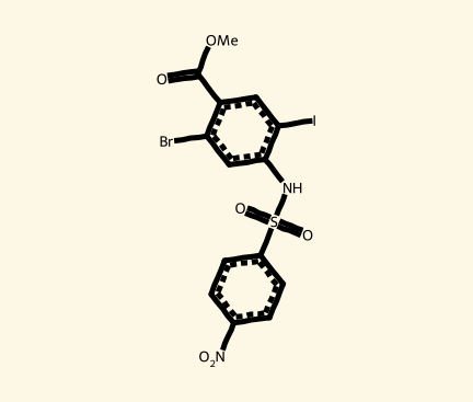 COC(=O)c1cc(I)c(NS(=O)(=O)c2ccc([N+](=O)[O-])cc2)cc1Br